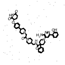 Nc1nnc(-c2ccccc2O)cc1N1CCC(C(=O)NCC2CCN(C(=O)CN3CCC(c4ccc(O[C@@H]5CCC(=O)NC5=O)cc4)CC3)CC2)(c2ccccc2)CC1